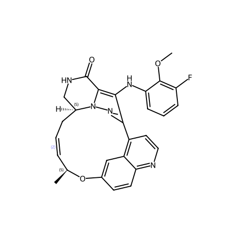 COc1c(F)cccc1Nc1c2nn3c1C(=O)NC[C@@H]3C/C=C\[C@H](C)Oc1ccc3nccc-2c3c1